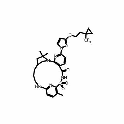 Cc1ccc2nc1S(=O)(=O)NC(=O)c1ccc(-n3ccc(OCCC4(C(F)(F)F)CC4)n3)nc1N1CC(CCCN2)CC1(C)C